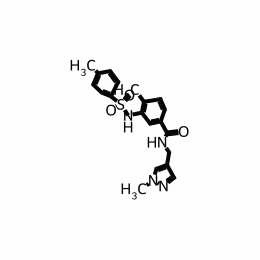 Cc1ccc(S(=O)(=O)Nc2cc(C(=O)NCc3cnn(C)c3)ccc2C)cc1